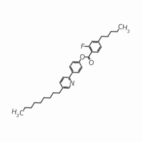 CCCCCCCCCc1ccc(-c2ccc(OC(=O)c3ccc(CCCCC)cc3F)cc2)nc1